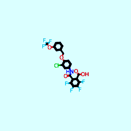 O=C(O)c1c(F)c(F)c(F)c(F)c1C(=O)Nc1ccc(OCc2cccc(OC(F)(F)F)c2)c(Cl)c1